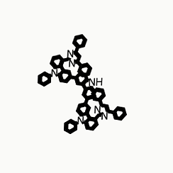 c1ccc(-c2cc(-c3ccccc3)nc(-c3cccc4c3c3cc(-c5ccc6[nH]c7ccc(-c8ccc9c(c8)c8c(-c%10nc(-c%11ccccc%11)cc(-c%11ccccc%11)n%10)cccc8n9-c8ccccc8)cc7c6c5)ccc3n4-c3ccccc3)n2)cc1